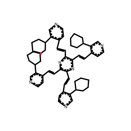 C(=Cc1nc(C=Cc2ccncc2C2CCCCC2)c(C=Cc2ccncc2C2CCCCC2)nc1C=Cc1ccncc1C1CCCCC1)c1ccncc1C1CCCCC1